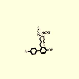 Oc1ccc(-c2ccc(Br)cc2)c(CCC[Si](N=C=S)(N=C=S)N=C=S)c1